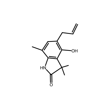 C=CCc1cc(C)c2c(c1O)C(C)(C)C(=O)N2